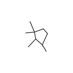 C[C]1CCC(C)(C)C1C